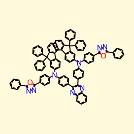 c1ccc(-c2nnc(-c3ccc(N(c4ccc(-c5nc6ccccc6nc5-c5ccc(N(c6ccc(-c7nnc(-c8ccccc8)o7)cc6)c6ccc7c(c6)C(c6ccccc6)(c6ccccc6)c6ccccc6-7)cc5)cc4)c4ccc5c(c4)C(c4ccccc4)(c4ccccc4)c4ccccc4-5)cc3)o2)cc1